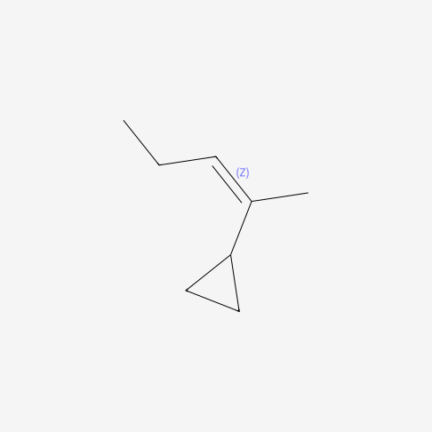 CC/C=C(/C)C1CC1